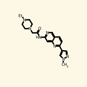 CCN1CCN(CC(=O)Nc2cc3nc(-c4cnn(C)c4)ccc3cn2)CC1